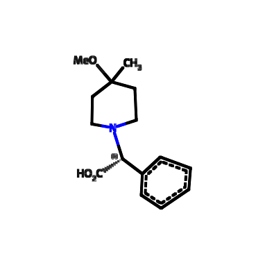 COC1(C)CCN([C@@H](C(=O)O)c2ccccc2)CC1